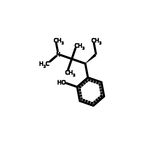 CC[C@H](c1ccccc1O)C(C)(C)N(C)C